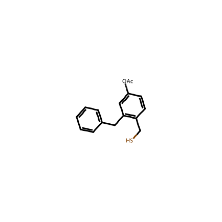 CC(=O)Oc1ccc(CS)c(Cc2ccccc2)c1